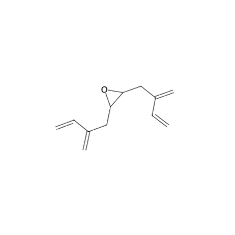 C=CC(=C)CC1OC1CC(=C)C=C